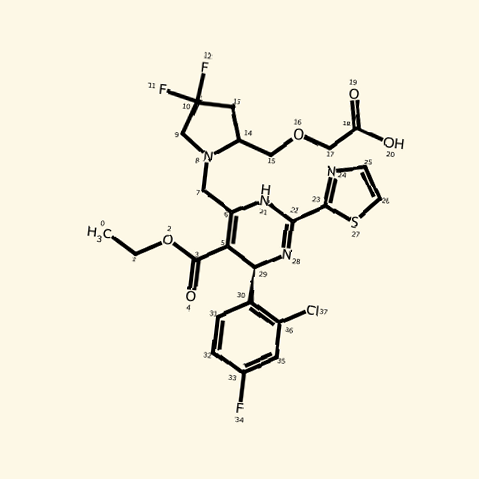 CCOC(=O)C1=C(CN2CC(F)(F)CC2COCC(=O)O)NC(c2nccs2)=N[C@H]1c1ccc(F)cc1Cl